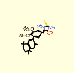 COc1cc(/C=C2\NC(=S)NC2=O)cc(-c2cc3c(cc2C)C(C)(C)CCC3(C)C)c1OC